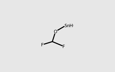 FC(F)[O][SnH]